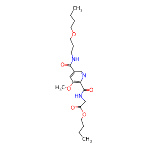 CCCCOCCCNC(=O)c1cnc(C(=O)NCC(=O)OCCCC)c(OC)c1